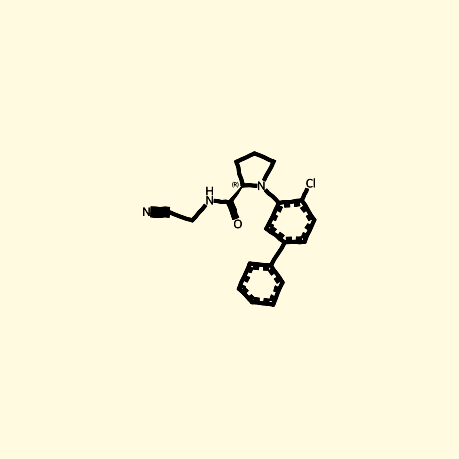 N#CCNC(=O)[C@H]1CCCN1c1cc(-c2ccccc2)ccc1Cl